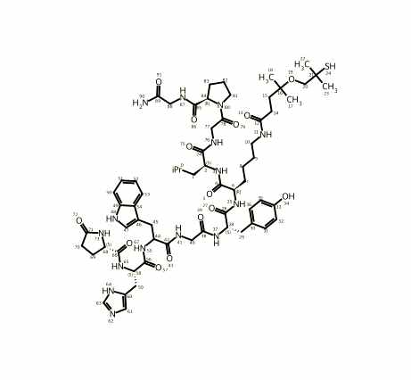 CC(C)C[C@H](NC(=O)[C@@H](CCCCNC(=O)CCC(C)(C)OCC(C)(C)S)NC(=O)[C@H](Cc1ccc(O)cc1)NC(=O)CNC(=O)C(Cc1c[nH]c2ccccc12)NC(=O)[C@H](Cc1cnc[nH]1)NC(=O)[C@@H]1CCC(=O)N1)C(=O)NCC(=O)N1CCC[C@@H]1C(=O)NCC(N)=O